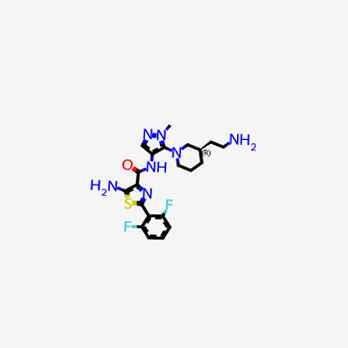 Cn1ncc(NC(=O)c2nc(-c3c(F)cccc3F)sc2N)c1N1CCC[C@H](CCN)C1